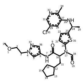 COCCn1cc(NC(=O)[C@H](CC2CCCC2)N(C=O)c2ccc([C@H](C)Nc3cc(Cl)cnc3C)s2)cn1